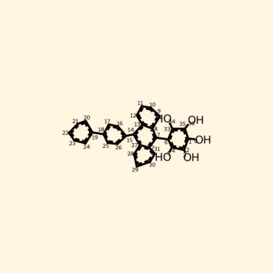 Oc1c(O)c(O)c(-c2c3ccccc3c(-c3ccc(-c4ccccc4)cc3)c3ccccc23)c(O)c1O